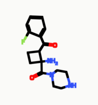 NC1(C(=O)N2CCNCC2)CCC1C(=O)c1ccccc1F